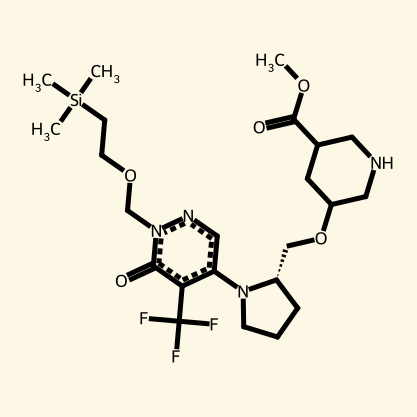 COC(=O)C1CNCC(OC[C@@H]2CCCN2c2cnn(COCC[Si](C)(C)C)c(=O)c2C(F)(F)F)C1